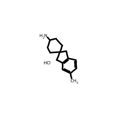 Cc1ccc2c(c1)CC1(CCC(N)CC1)C2.Cl